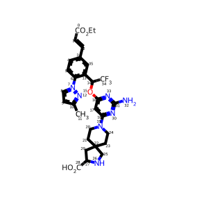 CCOC(=O)/C=C/c1ccc(-n2ccc(C)n2)c(C(Oc2cc(N3CCC4(CC3)CNC(C(=O)O)C4)nc(N)n2)C(F)(F)F)c1